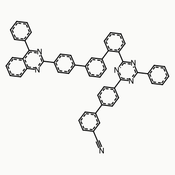 N#Cc1cccc(-c2ccc(-c3nc(-c4ccccc4)nc(-c4ccccc4-c4cccc(-c5ccc(-c6nc(-c7ccccc7)c7ccccc7n6)cc5)c4)n3)cc2)c1